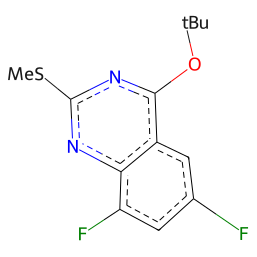 CSc1nc(OC(C)(C)C)c2cc(F)cc(F)c2n1